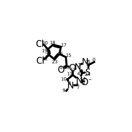 Cc1nnc([N+]2([O-])CN(C)CC2OC(=O)Cc2ccc(Cl)c(Cl)c2)s1